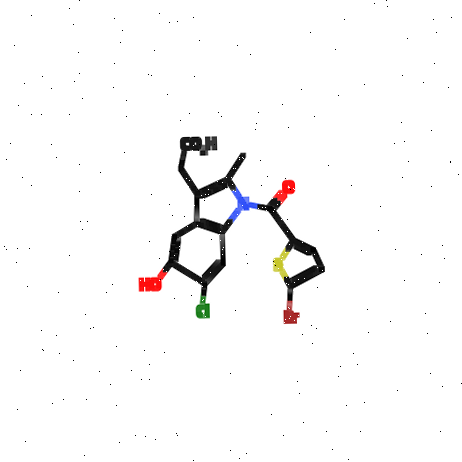 Cc1c(CC(=O)O)c2cc(O)c(Cl)cc2n1C(=O)c1ccc(Br)s1